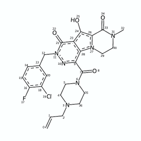 C=CCN1CCN(C(=O)c2nn(Cc3ccc(F)c(Cl)c3)c(=O)c3c(O)c4n(c23)CCN(C)C4=O)CC1